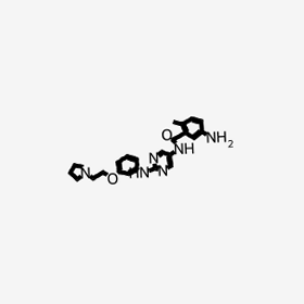 Cc1ccc(N)cc1C(=O)Nc1cnc(Nc2cccc(OCCN3CCCC3)c2)nc1